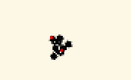 C1=CCC2C(=C1)N(c1ccccc1)c1cccc(N(c3cccc(-c4ccccc4)c3)c3cc4ccccc4c4c3ccc3ccccc34)c12